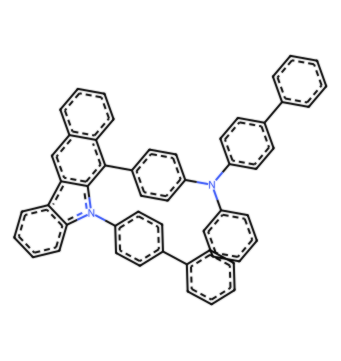 c1ccc(-c2ccc(N(c3ccccc3)c3ccc(-c4c5ccccc5cc5c6ccccc6n(-c6ccc(-c7ccccc7)cc6)c45)cc3)cc2)cc1